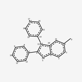 Cc1ccc2nc(-c3ccccc3)n(-c3ccncc3)c2c1